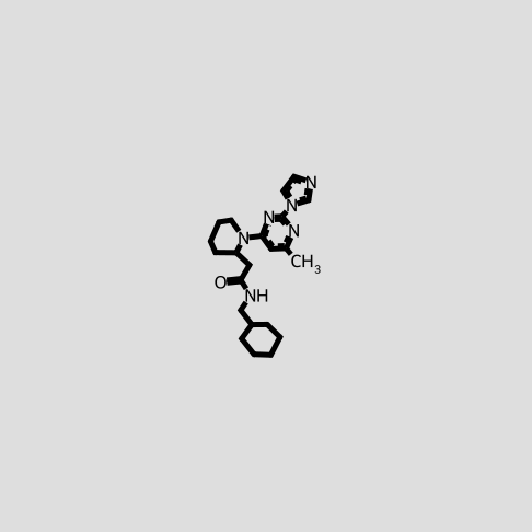 Cc1cc(N2CCCCC2CC(=O)NCC2CCCCC2)nc(-n2ccnc2)n1